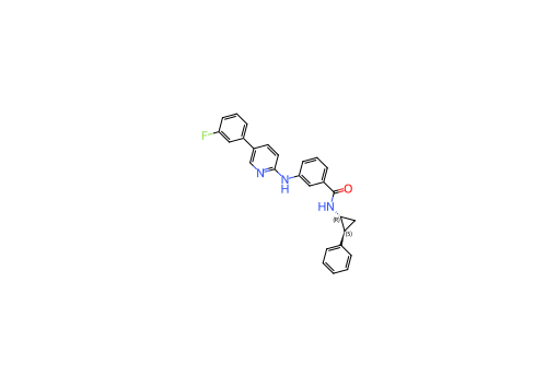 O=C(N[C@@H]1C[C@H]1c1ccccc1)c1cccc(Nc2ccc(-c3cccc(F)c3)cn2)c1